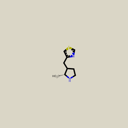 O=C(O)[C@H]1NCCC1Cc1cscn1